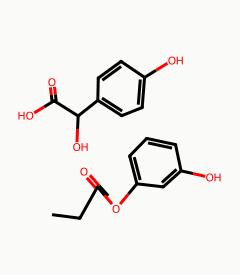 CCC(=O)Oc1cccc(O)c1.O=C(O)C(O)c1ccc(O)cc1